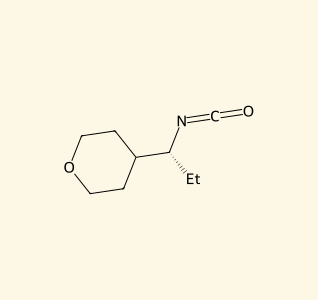 CC[C@@H](N=C=O)C1CCOCC1